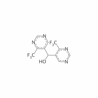 OC(c1cncnc1C(F)(F)F)c1cncnc1C(F)(F)F